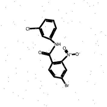 O=C(Nc1cccc(Cl)c1)c1ccc(Br)cc1[N+](=O)[O-]